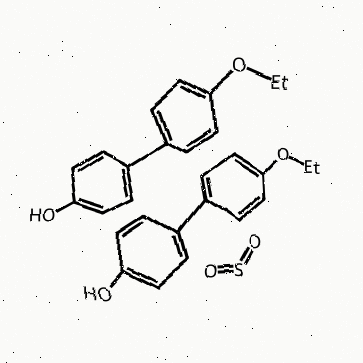 CCOc1ccc(-c2ccc(O)cc2)cc1.CCOc1ccc(-c2ccc(O)cc2)cc1.O=S=O